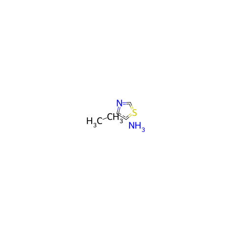 CC.N.c1cscn1